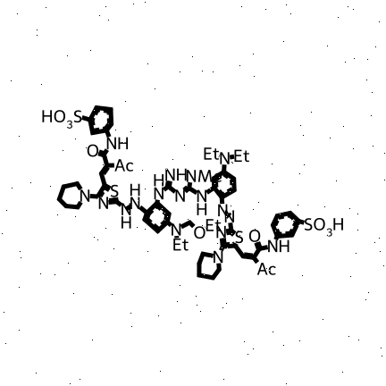 CCOCN(CC)c1ccc(NNc2nc(N3CCCCC3)c(/C=C(\C(C)=O)C(=O)Nc3cccc(S(=O)(=O)O)c3)s2)c(NC(=N)/N=C(\NC)Nc2cc(N(CC)CC)ccc2/N=N/c2nc(N3CCCCC3)c(/C=C(/C(C)=O)C(=O)Nc3cccc(S(=O)(=O)O)c3)s2)c1